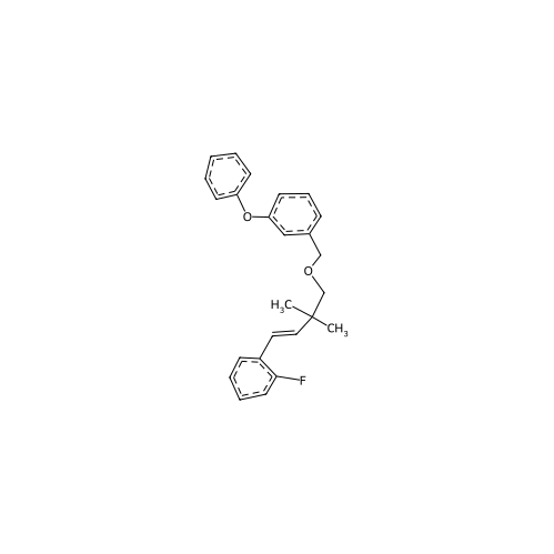 CC(C)(/C=C/c1ccccc1F)COCc1cccc(Oc2ccccc2)c1